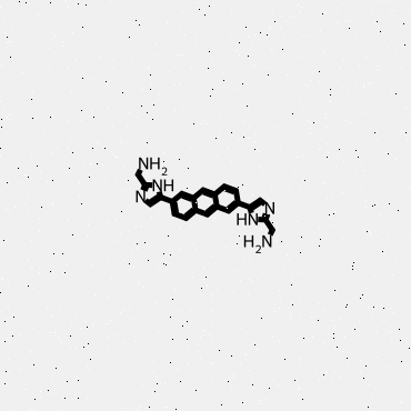 NCc1ncc(-c2ccc3cc4cc(-c5cnc(CN)[nH]5)ccc4cc3c2)[nH]1